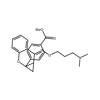 COC(=O)c1ccc(C23CC2C(=NOCCCN(C)C)c2ccccc2O3)cc1